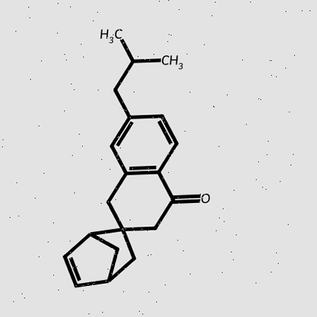 CC(C)Cc1ccc2c(c1)CC1(CC2=O)CC2C=CC1C2